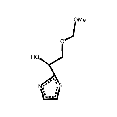 COCOCC(O)c1nccs1